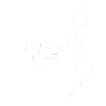 CC1CCC(C)(c2nc(-c3cc(OC4CCN(C(=O)OC(C)(C)C)CC4)cc(N4CCN(C)CC4)n3)no2)c2c1sc(N)c2C#N